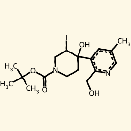 Cc1cnc(CO)c(C2(O)CCN(C(=O)OC(C)(C)C)CC2I)c1